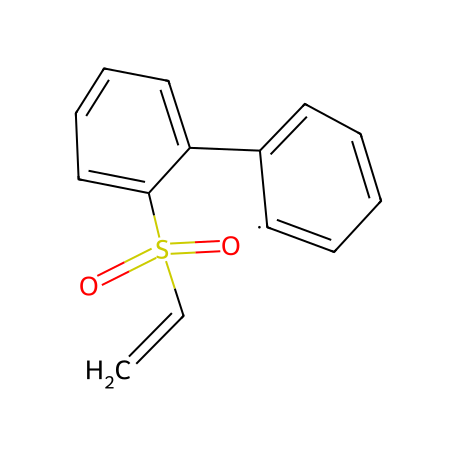 C=CS(=O)(=O)c1ccccc1-c1[c]cccc1